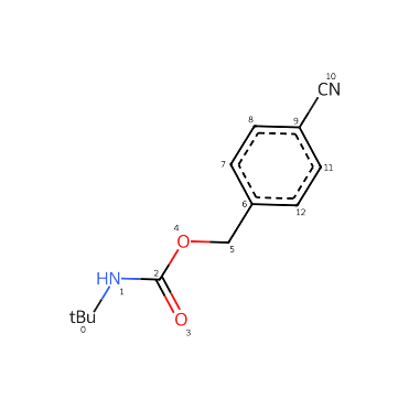 CC(C)(C)NC(=O)OCc1ccc(C#N)cc1